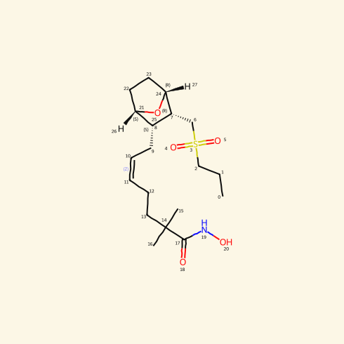 CCCS(=O)(=O)C[C@@H]1[C@H](C/C=C\CCC(C)(C)C(=O)NO)[C@@H]2CC[C@H]1O2